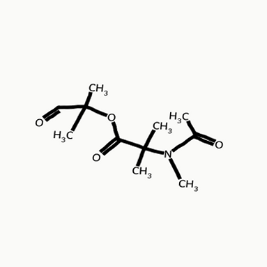 CC(=O)N(C)C(C)(C)C(=O)OC(C)(C)C=O